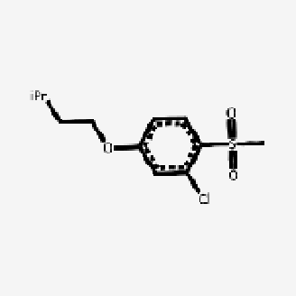 CC(C)CCOc1ccc(S(C)(=O)=O)c(Cl)c1